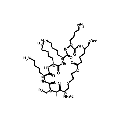 CCCCCCCCCCCCCCCC(=O)OCCSC[C@H](NC(C)=O)C(=O)N[C@@H](CO)C(=O)N[C@@H](CCCCN)C(=O)N[C@@H](CCCCN)C(=O)N[C@@H](CCCCN)C(=O)N[C@@H](CCCCN)C(N)=O